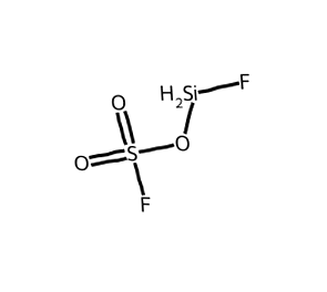 O=S(=O)(F)O[SiH2]F